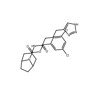 O=C(CCCc1c[nH]nn1)NC1CC2CCC(C1)N2C(=O)OCc1cc(Cl)cc(Cl)c1